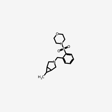 CC1C2CN(Cc3ccccc3S(=O)(=O)N3CCOCC3)CC12